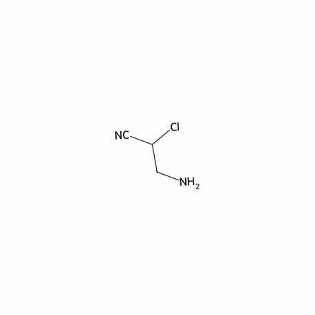 N#CC(Cl)CN